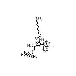 CCCCCCCCOC(=O)Nc1sc(C(C)CCCC(C)(C)OC)cc1C(=O)OC(C)(C)C